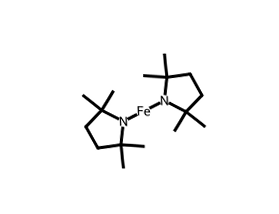 CC1(C)CCC(C)(C)[N]1[Fe][N]1C(C)(C)CCC1(C)C